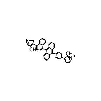 Cc1cnccc1-c1ccc(-c2c3ccccc3c(-c3ccc(-c4cccnc4C)cc3)c3ccccc23)c2ccccc12